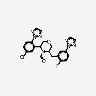 O=CN1C(c2cc(Cl)ccc2-n2nccn2)COC[C@H]1Cc1cc(-n2nccn2)ccc1F